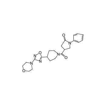 O=C(C1CC(=O)N(c2ccccc2)C1)N1CCC(c2nc(N3CCOCC3)no2)CC1